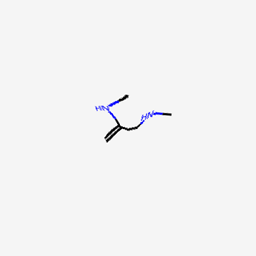 C=C(CNC)NC